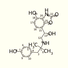 CC(C)(Cc1ccc(O)cc1)NCC(O)c1ccc(O)c2[nH]c(=O)oc12